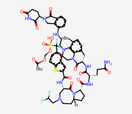 CCCCc1ccc(C[C@H](NC(=O)[C@H](CCC(N)=O)NC(=O)[C@@H]2CC[C@@H]3CCN(CC(F)F)C[C@H](NC(=O)c4cc5cc(C(F)(F)P(=O)(O)OCOC(=O)C(C)(C)C)ccc5s4)C(=O)N32)C(=O)N2CCN(CCNc3cccc4c3CN(C3CCC(=O)NC3=O)C4=O)CC2)cc1